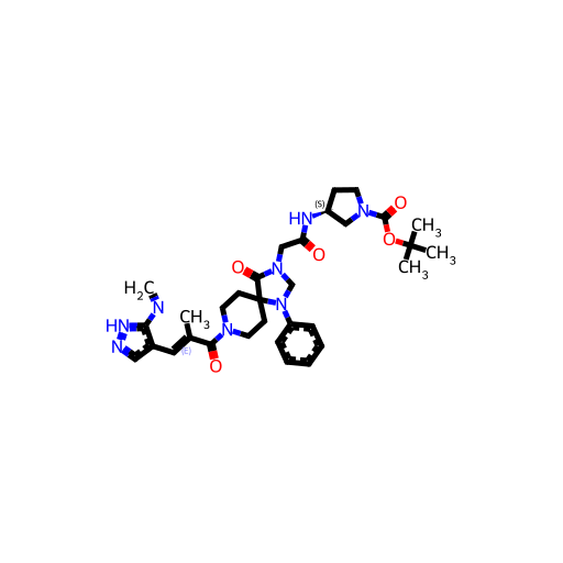 C=Nc1[nH]ncc1/C=C(\C)C(=O)N1CCC2(CC1)C(=O)N(CC(=O)N[C@H]1CCN(C(=O)OC(C)(C)C)C1)CN2c1ccccc1